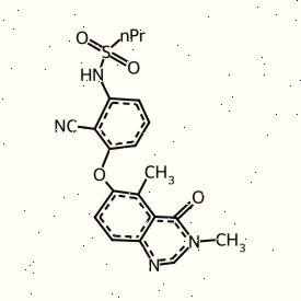 CCCS(=O)(=O)Nc1cccc(Oc2ccc3ncn(C)c(=O)c3c2C)c1C#N